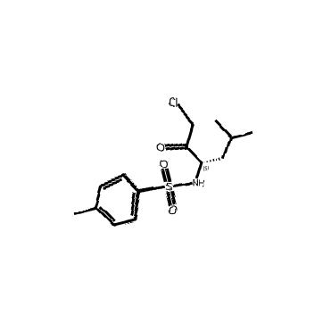 Cc1ccc(S(=O)(=O)N[C@@H](CC(C)C)C(=O)CCl)cc1